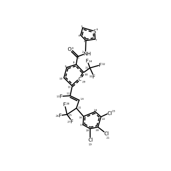 O=C(Nc1ccsc1)c1ccc(/C(F)=C/C(c2cc(Cl)c(Cl)c(Cl)c2)C(F)(F)F)cc1C(F)(F)F